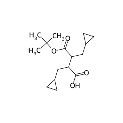 CC(C)(C)OC(=O)C(CC1CC1)C(CC1CC1)C(=O)O